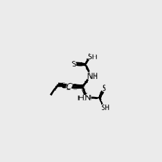 CC=C=C(NC(=S)S)NC(=S)S